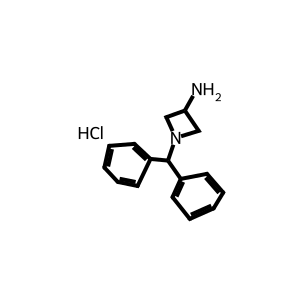 Cl.NC1CN(C(c2ccccc2)c2ccccc2)C1